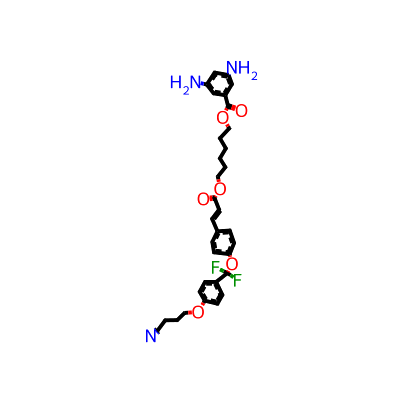 N#CCCCOc1ccc(C(F)(F)Oc2ccc(C=CC(=O)OCCCCCCOC(=O)c3cc(N)cc(N)c3)cc2)cc1